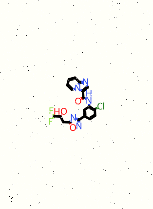 O=C(Nc1cc(-c2noc(C[C@@H](O)C(F)F)n2)ccc1Cl)c1cnc2ccccn12